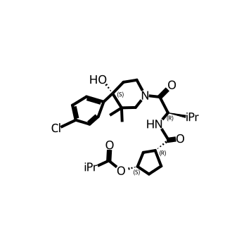 CC(C)C(=O)O[C@H]1CC[C@@H](C(=O)N[C@@H](C(=O)N2CC[C@](O)(c3ccc(Cl)cc3)C(C)(C)C2)C(C)C)C1